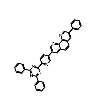 c1ccc(-c2cnc3c(ccc4cc(-c5ccc(-c6nc(-c7ccccc7)nc(-c7ccccc7)n6)nc5)cnc43)c2)cc1